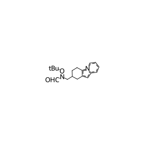 CC(C)(C)ON(C=O)CC1CCc2c(cc3ccccn23)C1